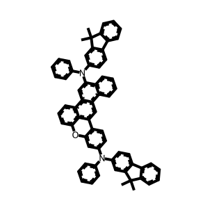 CC1(C)c2ccccc2-c2ccc(N(c3ccccc3)c3ccc4c(c3)Oc3cccc5c3c-4cc3c4ccccc4c(N(c4ccccc4)c4ccc6c(c4)C(C)(C)c4ccccc4-6)cc53)cc21